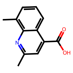 Cc1cc(C(=O)O)c2cccc(C)c2n1